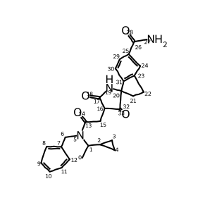 CC(C1CC1)N(Cc1ccccc1)C(=O)CC1C(=O)NC2(CCc3cc(C(N)=O)ccc32)C1=O